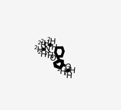 [2H]O[C@@]1(c2cccc(OC([2H])([2H])[2H])c2)CCCC[C@H]1CN(C([2H])([2H])[2H])C([2H])([2H])[2H]